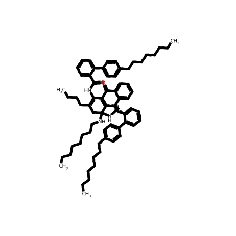 CCCCCCCCNC1(NC(=O)c2ccccc2-c2ccc(CCCCCCCC)cc2)CC(CCCC)=C(NC(=O)c2ccccc2-c2ccc(CCCCCCCC)cc2)C2=C1C(=O)c1ccccc1C2=O